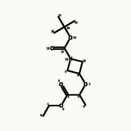 CCOC(=O)C(C)OC1CN(C(=O)OC(C)(C)C)C1